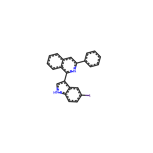 Ic1ccc2[nH]cc(-c3nc(-c4ccccc4)cc4ccccc34)c2c1